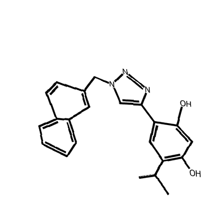 CC(C)c1cc(-c2cn(Cc3ccc4ccccc4c3)nn2)c(O)cc1O